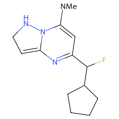 CNC1=CC(C(F)C2CCCC2)=NC2=CCNN21